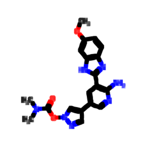 COc1ccc2nc(-c3cc(-c4cnn(OC(=O)N(C)C)c4)cnc3N)[nH]c2c1